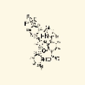 O=C(O)c1ccc(C2(NC(=O)c3cc(C(F)(F)F)cnc3N3CC(Oc4cccc(F)c4)C3)CC2)cc1